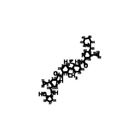 Cc1c(NC(=O)c2cc(C3CC3)c(CN[C@H]3CCC[C@H]3O)cn2)cccc1-c1cccc(NC(=O)c2cc(C3CC3)c(CN3CCCCC3)cn2)c1C